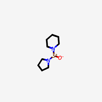 [O-][S+](N1CCCCC1)N1CCCC1